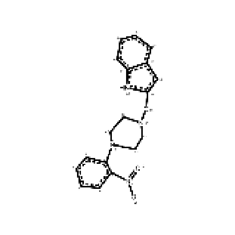 O=[N+]([O-])c1ccccc1N1CCN(Cc2cc3ccccc3[nH]2)CC1